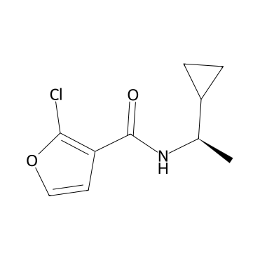 C[C@@H](NC(=O)c1ccoc1Cl)C1CC1